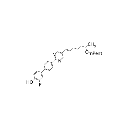 CCCCCOC(C)CCC/C=C/c1cnc(-c2ccc(-c3ccc(O)c(F)c3)cc2)nc1